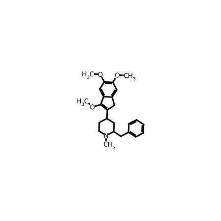 COC1=C(C2CCN(C)C(Cc3ccccc3)C2)Cc2cc(OC)c(OC)cc21